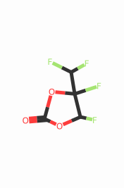 O=C1OC(F)C(F)(C(F)F)O1